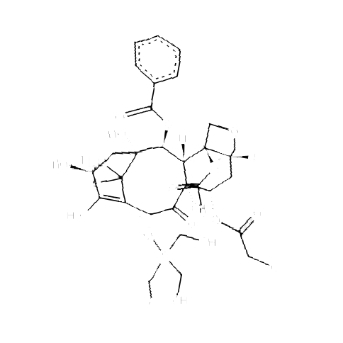 CCC(=O)O[C@H]1C[C@H]2OC[C@@]2(OC(C)=O)[C@H]2[C@H](OC(=O)c3ccccc3)[C@]3(O)C[C@H](O)C(C)=C([C@@H](O[Si](CC)(CC)CC)C(=O)[C@]12C)C3(C)C